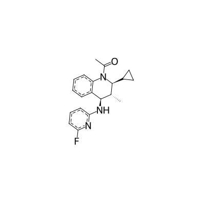 CC(=O)N1c2ccccc2[C@H](Nc2cccc(F)n2)[C@@H](C)[C@@H]1C1CC1